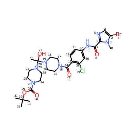 Cn1c(Br)cnc1C(=O)Nc1ccc(C(=O)N2CCN(C(C)(O)N3CCN(C(=O)OC(C)(C)C)CC3)CC2)c(Cl)c1